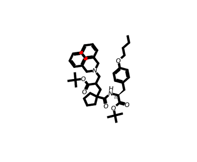 CCCCOc1ccc(C[C@H](NC(=O)C2(CC(CN(Cc3ccccc3)Cc3ccccc3)C(=O)OC(C)(C)C)CCCC2)C(=O)OC(C)(C)C)cc1